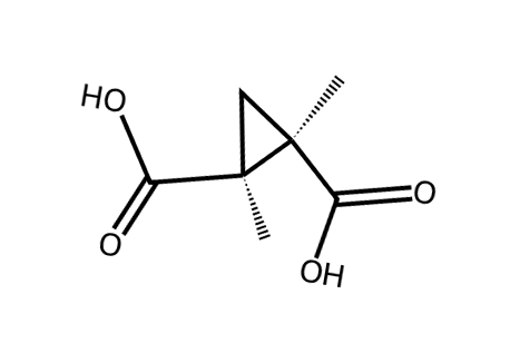 C[C@@]1(C(=O)O)C[C@]1(C)C(=O)O